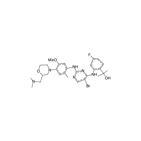 COc1cc(Nc2ncc(Br)c(Nc3cc(F)ccc3C(C)(C)O)n2)c(C)cc1N1CCOC(CN(C)C)C1